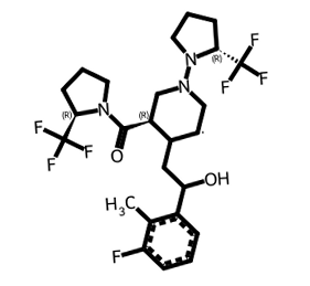 Cc1c(F)cccc1C(O)CC1[CH]CN(N2CCC[C@@H]2C(F)(F)F)C[C@@H]1C(=O)N1CCC[C@@H]1C(F)(F)F